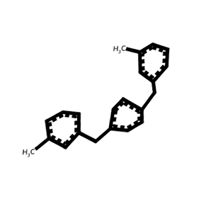 Cc1cccc(Cc2ccc(Cc3cccc(C)c3)cc2)c1